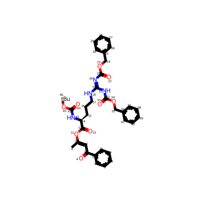 C/C(=C\C(=O)c1ccccc1)OC(=O)[C@H](CCCN/C(=N/C(=O)OCc1ccccc1)NC(=O)OCc1ccccc1)NC(=O)OC(C)(C)C